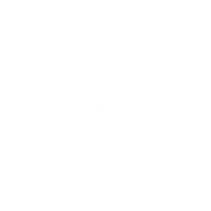 F[As-](F)(F)(F)(F)F.O.[Li+]